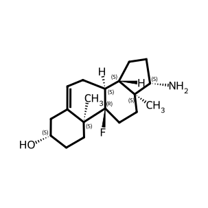 C[C@]12CC[C@@]3(F)[C@@H](CC=C4C[C@@H](O)CC[C@@]43C)[C@@H]1CC[C@@H]2N